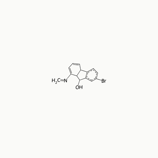 C=NC1=CC=CC2c3ccc(Br)cc3C(O)C12